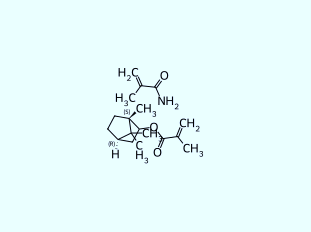 C=C(C)C(=O)OC1C[C@H]2CC[C@@]1(C)C2(C)C.C=C(C)C(N)=O